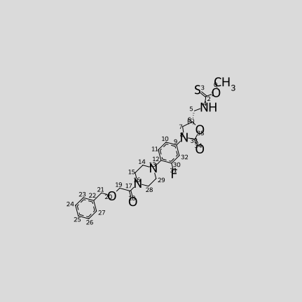 COC(=S)NC[C@H]1CN(c2ccc(N3CCN(C(=O)COCc4ccccc4)CC3)c(F)c2)C(=O)O1